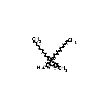 CCCCCCCCCCCCC1(CCCCCCCCCCCC)Oc2cc(C)sc2C2=C1CC(C)S2